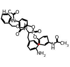 CC(=O)Nc1ccc(OP(=O)(Oc2ccc(NC(C)=O)cc2)C(Cc2ccc(N)cc2)NC(=O)OCc2ccccc2)cc1